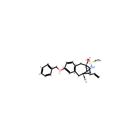 C=CC[C@]1(N[S+]([O-])C(C)(C)C)[C@@H]2CC[C@H]1Cc1ccc(OCc3ccccc3)cc1C2